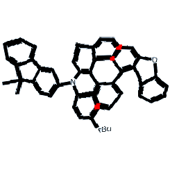 CC(C)(C)c1ccc(N(c2ccc3c(c2)-c2ccccc2C3(C)C)c2ccc3ccccc3c2-c2ccccc2-c2cccc3oc4ccccc4c23)cc1